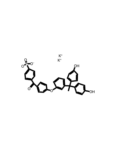 CC(c1ccc(O)cc1)(c1ccc(O)cc1)c1cccc(Oc2ccc(C(=O)c3ccc(P(=O)([O-])[O-])cc3)cc2)c1.[K+].[K+]